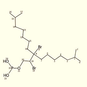 CC(C)CCCCCC(Br)(CCCCCC(C)C)C(Br)COP(O)O